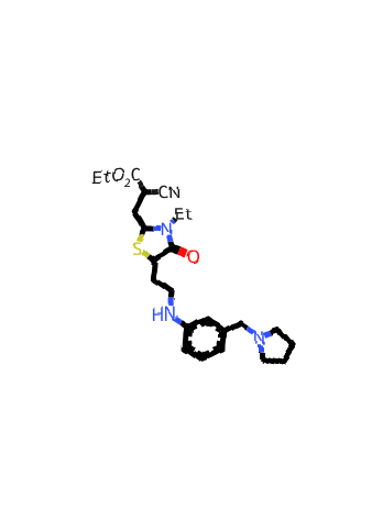 CCOC(=O)C(C#N)CC1SC(CCNc2cccc(CN3CCCC3)c2)C(=O)N1CC